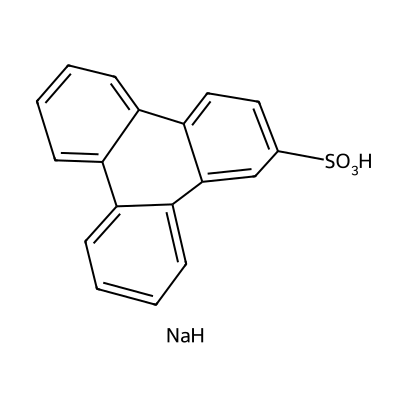 O=S(=O)(O)c1ccc2c3ccccc3c3ccccc3c2c1.[NaH]